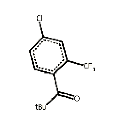 CC(C)(C)C(=O)c1ccc(Cl)cc1C(F)(F)F